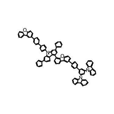 c1ccc(-c2ccc3c4c(-c5cccc6c5oc5ccc(-c7ccc(-c8cc(-n9c%10ccccc%10c%10ccccc%109)cc(-n9c%10ccccc%10c%10ccccc%109)c8)cc7)cc56)cc(-c5ccccc5)cc4n(-c4ccc(-c5ccc(-c6ccc7oc8ccccc8c7c6)cc5)cc4)c3c2)cc1